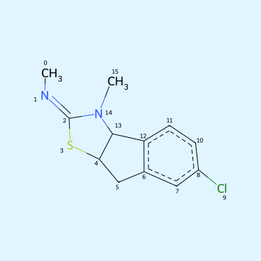 CN=C1SC2Cc3cc(Cl)ccc3C2N1C